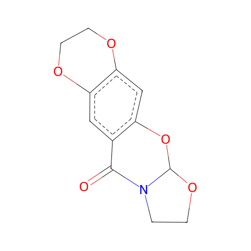 O=C1c2cc3c(cc2OC2OCCN12)OCCO3